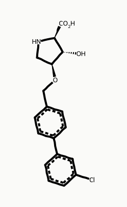 O=C(O)[C@@H]1NC[C@H](OCc2ccc(-c3cccc(Cl)c3)cc2)[C@H]1O